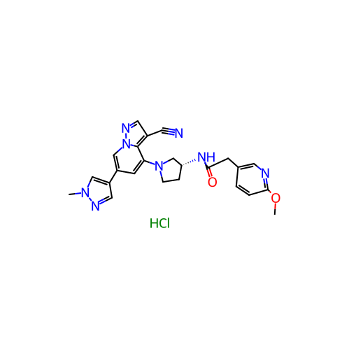 COc1ccc(CC(=O)N[C@@H]2CCN(c3cc(-c4cnn(C)c4)cn4ncc(C#N)c34)C2)cn1.Cl